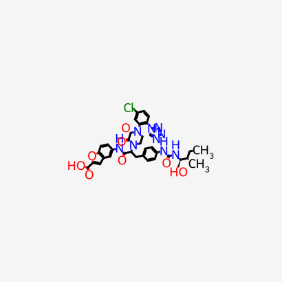 CC[C@H](C)[C@@H](CO)NC(=O)Nc1ccc(CC(C(=O)Nc2ccc3oc(C(=O)O)cc3c2)N2CCN(c3cc(Cl)ccc3-n3cnnn3)C(=O)C2=O)cc1